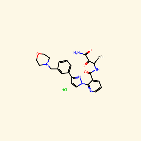 CCCCC(NC(=O)c1cccnc1-n1ccc(-c2cccc(CN3CCOCC3)c2)n1)C(=O)C(N)=O.Cl